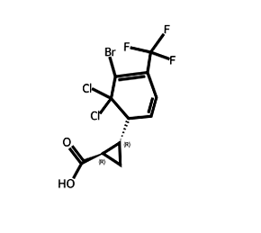 O=C(O)[C@@H]1C[C@H]1C1C=CC(C(F)(F)F)=C(Br)C1(Cl)Cl